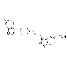 OCc1ccc2nnn(CCCN3CCC(c4coc5cc(F)ccc45)CC3)c2c1